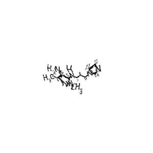 Cc1nn(C)c(NCCCn2ccnc2)c1N